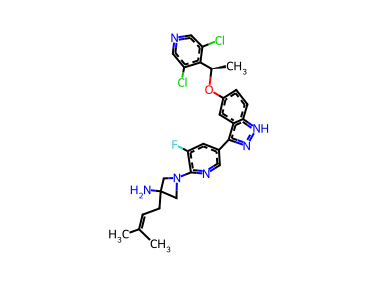 CC(C)=CCC1(N)CN(c2ncc(-c3n[nH]c4ccc(O[C@H](C)c5c(Cl)cncc5Cl)cc34)cc2F)C1